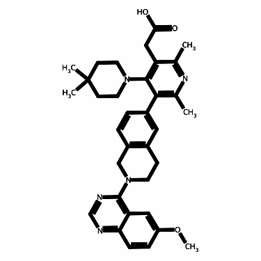 COc1ccc2ncnc(N3CCc4cc(-c5c(C)nc(C)c(CC(=O)O)c5N5CCC(C)(C)CC5)ccc4C3)c2c1